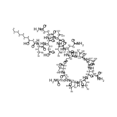 CCCCCCCC(O)CC(=O)NC(CC(C)C)C(=O)NC(CCC(=O)O)C(=O)NC(CCC(N)=O)C(=O)NC(C(=O)NC(CC(C)C)C(=O)NC(CCC(N)=O)C(=O)NC1COC(=O)C(C(C)C)NC(=O)C(CCC(N)=O)NC(=O)C(CC(C)C)NC(=O)C(CC(C)C)NC(=O)C(CCC(N)=O)NC(=O)C(CC(C)C)NC(=O)C(C(C)C)NC1=O)C(C)C